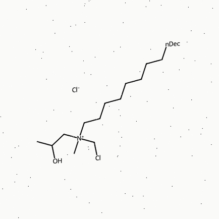 CCCCCCCCCCCCCCCCCC[N+](C)(CCl)CC(C)O.[Cl-]